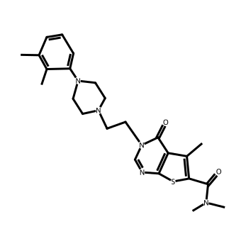 Cc1cccc(N2CCN(CCn3cnc4sc(C(=O)N(C)C)c(C)c4c3=O)CC2)c1C